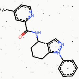 Cc1ccnc(C(=O)NC2CCCc3c2cnn3-c2ccccc2)c1